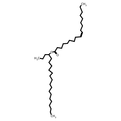 CCCCCCCC/C=C\CCCCCCCC(=O)OC(CCC)CCCCCCCCCCCCCCCCC